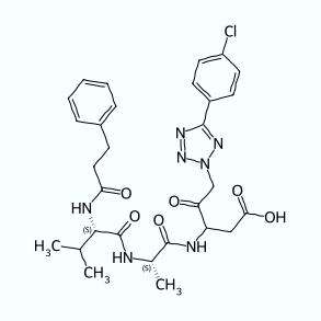 CC(C)[C@H](NC(=O)CCc1ccccc1)C(=O)N[C@@H](C)C(=O)NC(CC(=O)O)C(=O)Cn1nnc(-c2ccc(Cl)cc2)n1